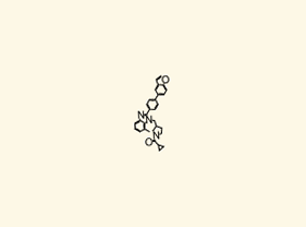 Cc1cccc2nc(-c3ccc(-c4ccc5occc5c4)cc3)n(CC3CCN(C(=O)C4CC4)C3)c12